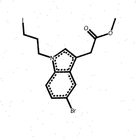 COC(=O)Cc1cn(CCCI)c2ccc(Br)cc12